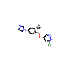 Clc1cc(OCc2ccc(-n3ccnc3)cc2)cnn1.[H-].[Na+]